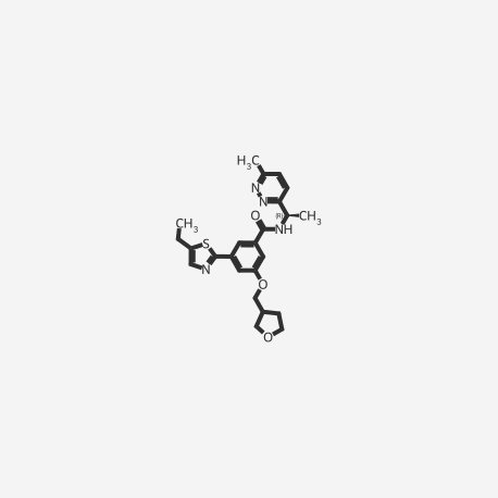 CCc1cnc(-c2cc(OCC3CCOC3)cc(C(=O)N[C@H](C)c3ccc(C)nn3)c2)s1